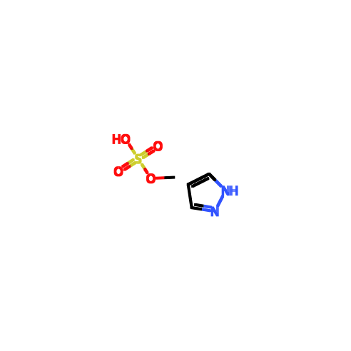 COS(=O)(=O)O.c1cn[nH]c1